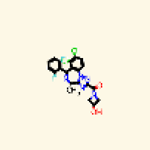 C[C@@H]1N=C(c2c(F)cccc2F)c2c(ccc(Cl)c2Cl)-n2nc(C(=O)N3CC(O)C3)nc21